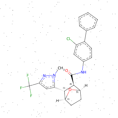 Cn1nc(C(F)(F)F)cc1[C@@H]1[C@@H](C(=O)Nc2ccc(-c3ccccc3)c(Cl)c2)[C@H]2CC[C@@H]1O2